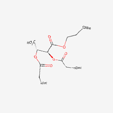 CCCCCCCCCCCC(=O)O[C@H](C(=O)O)[C@H](OC(=O)CCCCCCCCCCC)C(=O)OCCOC